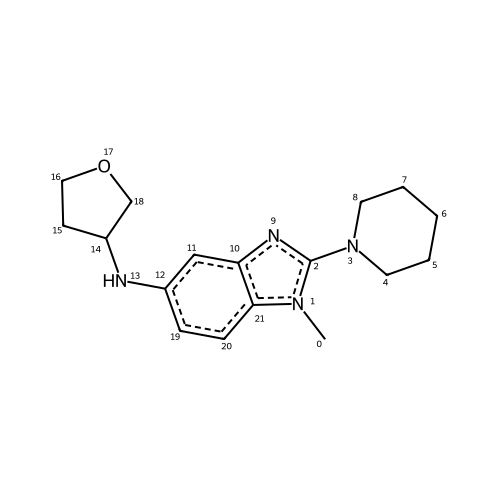 Cn1c(N2CCCCC2)nc2cc(NC3CCOC3)ccc21